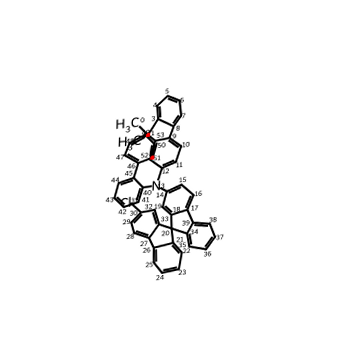 CC1(C)c2ccccc2-c2ccc(N(c3ccc4c(c3)C3(c5ccccc5-c5ccc(Cl)cc53)c3ccccc3-4)c3ccccc3-c3ccccc3)cc21